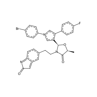 C[C@@H]1O[C@H](c2cn(-c3ccc(Br)cc3)cc2-c2ccc(F)cc2)N(CCc2ccc3c(c2)=CC(=O)N=3)C1=O